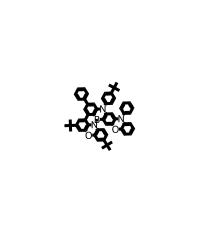 CC(C)(C)c1ccc(N2c3cc4c(cc3B3c5c(cc(-c6ccccc6)cc52)-c2cc(C(C)(C)C)cc5c2N3c2ccc(C(C)(C)C)cc2O5)Oc2ccccc2N4c2ccccc2)cc1